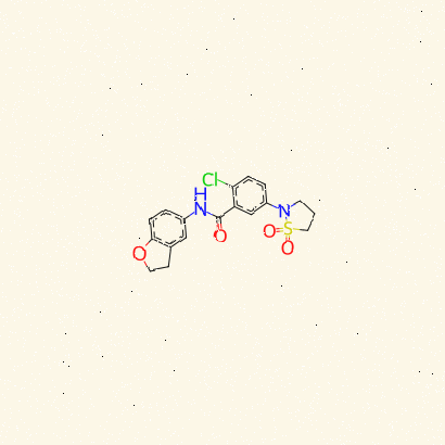 O=C(Nc1ccc2c(c1)CCO2)c1cc(N2CCCS2(=O)=O)ccc1Cl